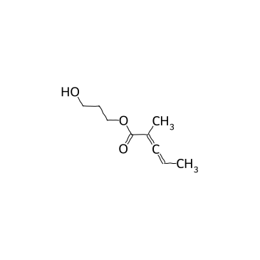 CC=C=C(C)C(=O)OCCCO